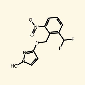 O=[N+]([O-])c1cccc(C(F)F)c1COc1ccn(O)n1